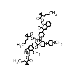 CCCCC1(C(=O)OCN(C(=O)N2CCC(c3cc4ccccc4n(COC(=O)C4(CCCC)CC4)c3=O)CC2)[C@H](Cc2cc(C)c3c(cnn3COC(=O)C3(CCC)CC3)c2)C(=O)N2CCN(C3CCN(C)CC3)CC2)CC1